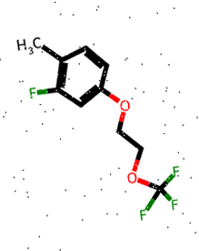 Cc1ccc(OCCOC(F)(F)F)cc1F